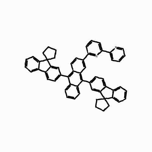 c1ccc(-c2cccc(-c3ccc4c(-c5ccc6c(c5)C5(CCCC5)c5ccccc5-6)c5ccccc5c(-c5ccc6c(c5)C5(CCCC5)c5ccccc5-6)c4c3)n2)nc1